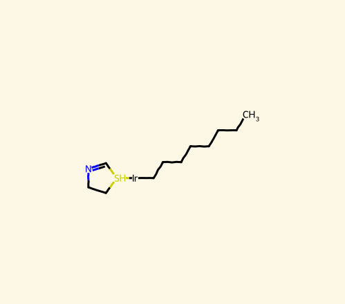 CCCCCCC[CH2][Ir][SH]1C=NCC1